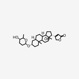 CC1O[C@@H](O[C@H]2CCC3(C)C4CCC5(C)[C@@H](C6=CC(=O)OC6)CC[C@]5(O)[C@@H]4CC[C@@H]3C2)CC[C@H]1O